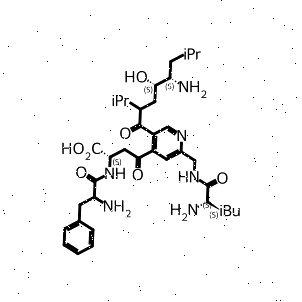 CC[C@H](C)[C@H](N)C(=O)NCc1cc(C(=O)C[C@H](NC(=O)C(N)Cc2ccccc2)C(=O)O)c(C(=O)C(C[C@H](O)[C@@H](N)CC(C)C)C(C)C)cn1